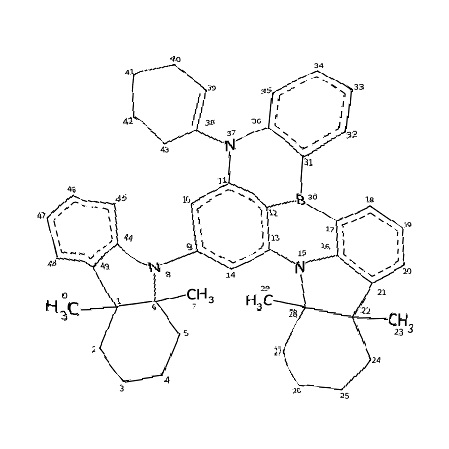 CC12CCCCC1(C)N(c1cc3c4c(c1)N1c5c(cccc5C5(C)CCCCC15C)B4c1ccccc1N3C1=CCCCC1)c1ccccc12